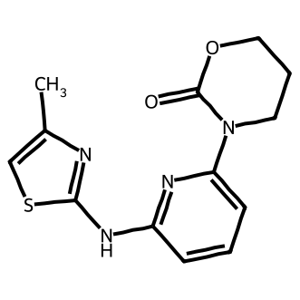 Cc1csc(Nc2cccc(N3CCCOC3=O)n2)n1